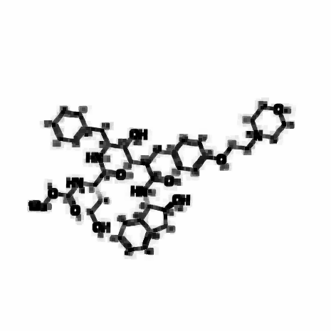 CC(C)(C)OC(=O)N[C@@H](CCO)C(=O)NC(Cc1ccccc1)C(O)CC(Cc1ccc(OCCN2CCOCC2)cc1)C(=O)N[C@H]1c2ccccc2C[C@@H]1O